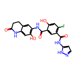 O=C1CCc2cc(NC(=O)c3cc(C(=O)Nc4ccn[nH]4)c(F)cc3O)c(O)cc2N1